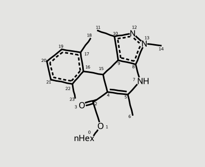 CCCCCCOC(=O)C1=C(C)Nc2c(c(C)nn2C)C1c1c(C)cccc1C